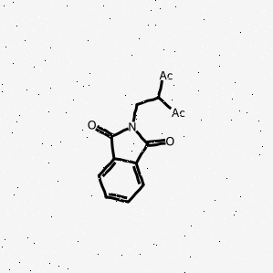 CC(=O)C(CN1C(=O)c2ccccc2C1=O)C(C)=O